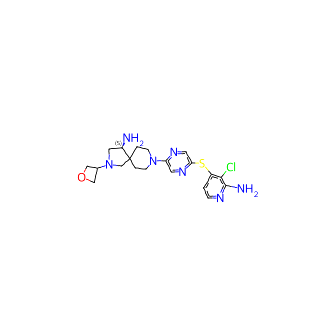 Nc1nccc(Sc2cnc(N3CCC4(CC3)CN(C3COC3)C[C@H]4N)cn2)c1Cl